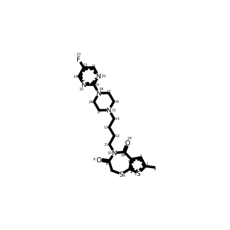 Cc1cc2c(s1)SCC(=O)N(CCCCN1CCN(c3ncc(F)cn3)CC1)C2=O